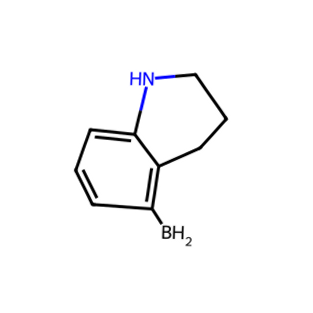 Bc1cccc2c1CCCN2